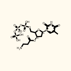 Cc1cn([C@H]2C[C@@H](OC(=O)CCN)C(COP(=O)(O)OP(=O)(O)OP(=O)(O)O)O2)c(=O)[nH]c1=O